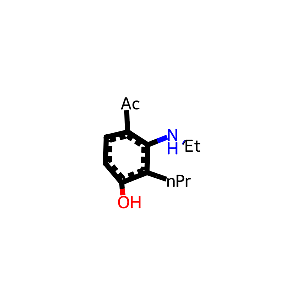 CCCc1c(O)ccc(C(C)=O)c1NCC